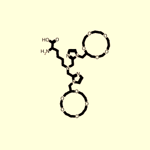 NC(CCCCN(Cc1nccn1CC1COCOCCOCCOCCO1)Cc1nccn1CC1COCOCCOCCOCCO1)C(=O)O